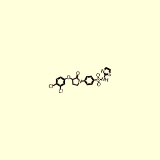 O=C1C(Oc2ccc(Cl)c(Cl)c2)CCN1c1ccc(S(=O)(=O)Nc2nccs2)cc1